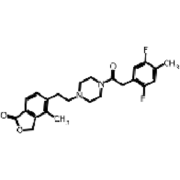 Cc1cc(F)c(CC(=O)N2CCN(CCc3ccc4c(c3C)COC4=O)CC2)cc1F